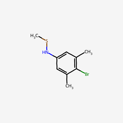 CSNc1cc(C)c(Br)c(C)c1